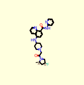 C[C@@H]1C[C@H](F)CN1C(=O)CN1CCC(Nc2ccc(C(=O)Nc3ccccn3)c3ncccc23)CC1